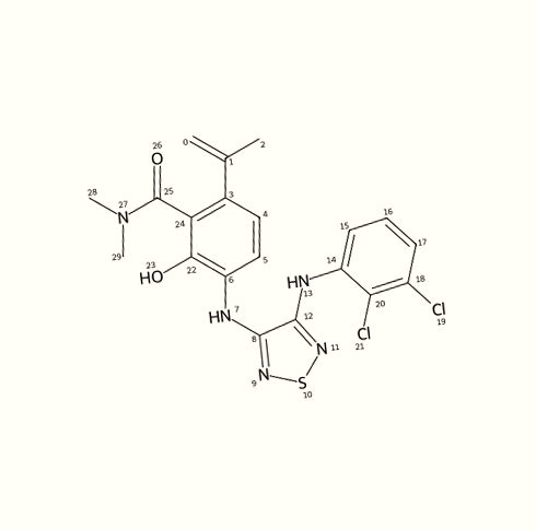 C=C(C)c1ccc(Nc2nsnc2Nc2cccc(Cl)c2Cl)c(O)c1C(=O)N(C)C